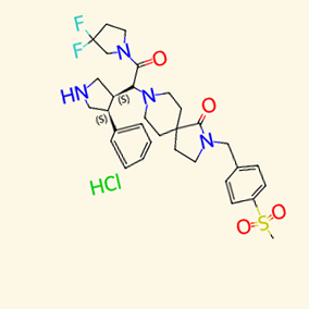 CS(=O)(=O)c1ccc(CN2CCC3(CCN(C(C(=O)N4CCC(F)(F)C4)[C@@H]4CNC[C@@H]4c4ccccc4)CC3)C2=O)cc1.Cl